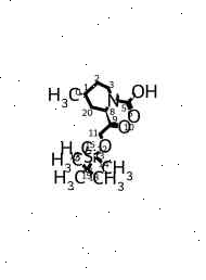 C[C@@H]1CCN(C(=O)O)[C@@H](C(=O)CO[Si](C)(C)C(C)(C)C)C1